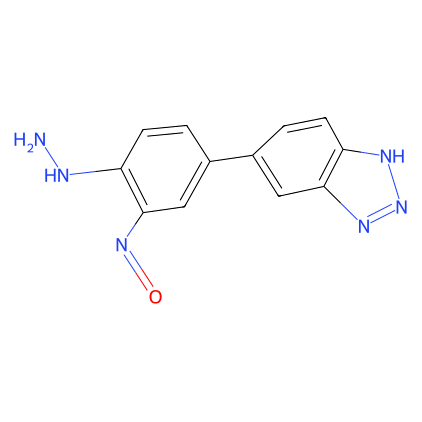 NNc1ccc(-c2ccc3[nH]nnc3c2)cc1N=O